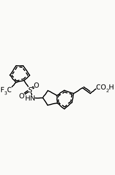 O=C(O)C=Cc1ccc2c(c1)CC(NS(=O)(=O)c1ccccc1C(F)(F)F)C2